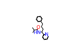 CC(C)C(=O)NC(CCCc1ccccc1)c1ccccn1